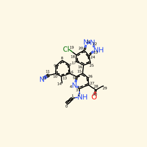 C#CNc1nc(-c2cccc(C#N)c2C)c(-c2cc(Cl)c3nn[nH]c3c2)cc1C(C)=O